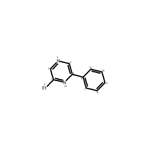 CCc1cncc(-c2ccccc2)n1